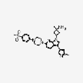 Cn1cc(-c2cn(C3CC(C)(N)C3)c3nc(N4CCN(c5ccc(S(C)(=O)=O)cc5)CC4)ccc23)cn1